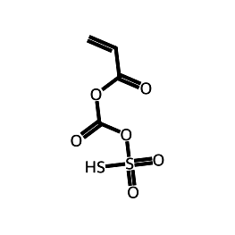 C=CC(=O)OC(=O)OS(=O)(=O)S